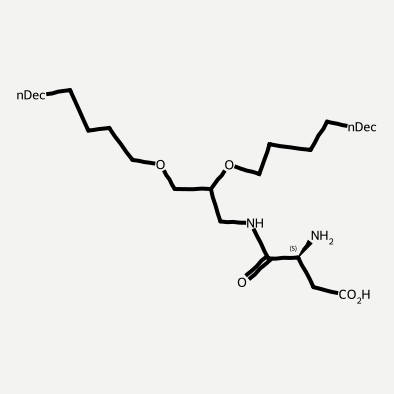 CCCCCCCCCCCCCCOCC(CNC(=O)[C@@H](N)CC(=O)O)OCCCCCCCCCCCCCC